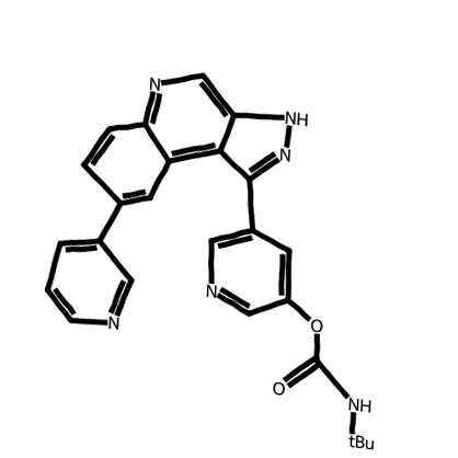 CC(C)(C)NC(=O)Oc1cncc(-c2n[nH]c3cnc4ccc(-c5cccnc5)cc4c23)c1